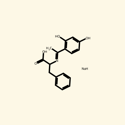 C/C(=N\C(Cc1ccccc1)C(=O)O)c1ccc(O)cc1O.[NaH]